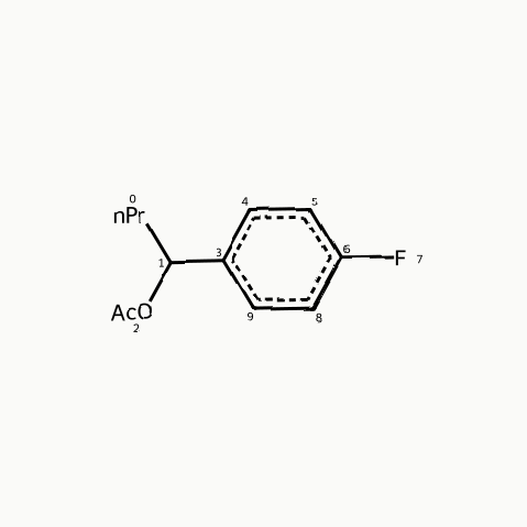 C[CH]CC(OC(C)=O)c1ccc(F)cc1